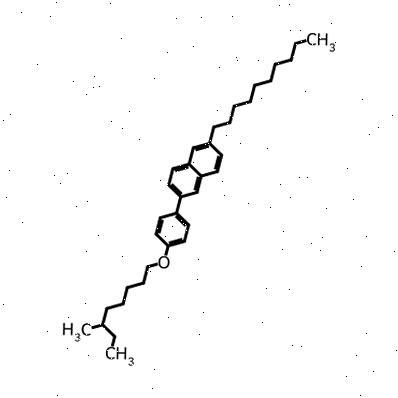 CCCCCCCCCCc1ccc2cc(-c3ccc(OCCCCCC(C)CC)cc3)ccc2c1